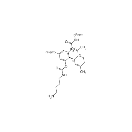 C=C(C)[C@@H]1CCC(C)=C[C@H]1c1c(OC(=O)NCCCCC)cc(CCCCC)cc1OC(=O)NCCCCN